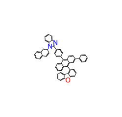 c1ccc(-c2ccc3c(-c4ccc(-c5nc6ccccc6n5-c5ccc6ccccc6c5)cc4)c4ccccc4c(-c4cccc5oc6ccccc6c45)c3c2)cc1